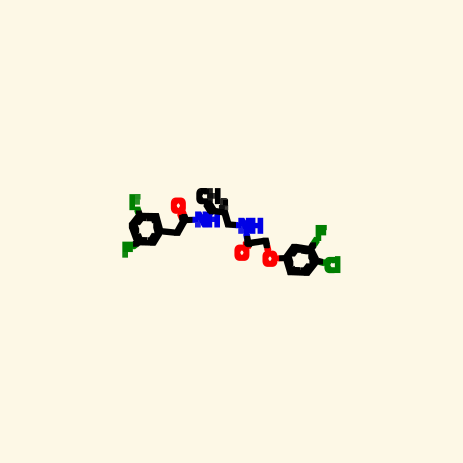 C=C(CCNC(=O)COc1ccc(Cl)c(F)c1)NC(=O)Cc1cc(F)cc(F)c1